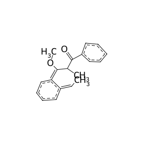 C/C=c1/cccc/c1=C(\OC)C(C)C(=O)c1ccccc1